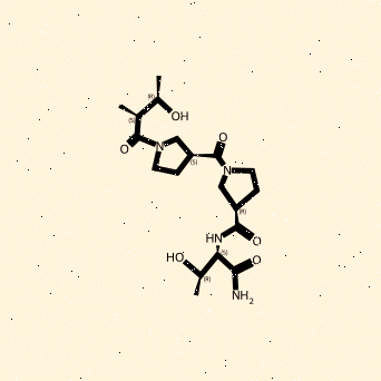 C[C@H](C(=O)N1CC[C@H](C(=O)N2CC[C@@H](C(=O)N[C@H](C(N)=O)[C@@H](C)O)C2)C1)[C@@H](C)O